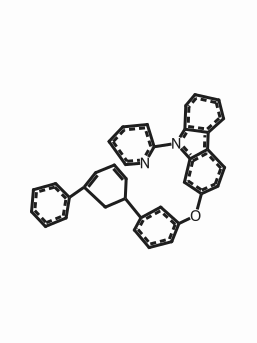 C1=CC(c2cccc(Oc3ccc4c5ccccc5n(-c5ccccn5)c4c3)c2)CC(c2ccccc2)=C1